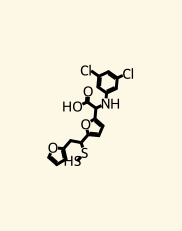 O=C(O)C(Nc1cc(Cl)cc(Cl)c1)c1ccc(C(Cc2ccco2)SS)o1